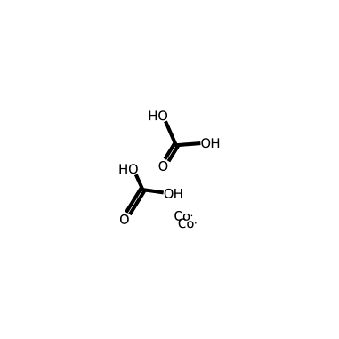 O=C(O)O.O=C(O)O.[Co].[Co]